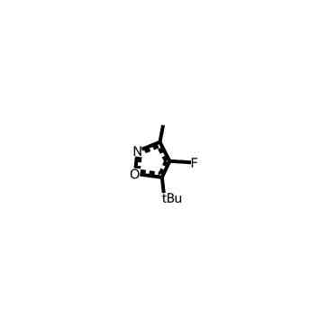 Cc1noc(C(C)(C)C)c1F